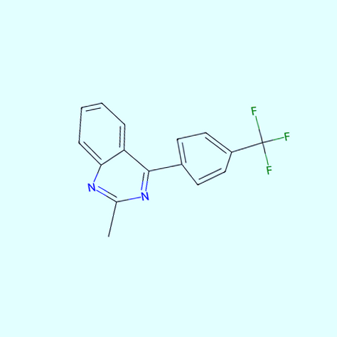 Cc1nc(-c2ccc(C(F)(F)F)cc2)c2ccccc2n1